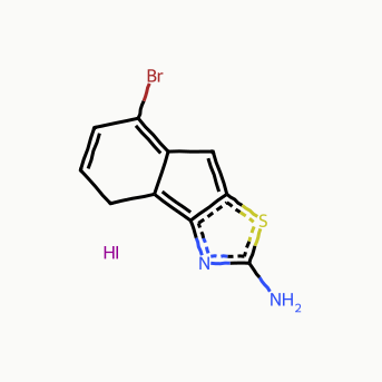 I.Nc1nc2c(s1)=CC1=C(Br)C=CCC=21